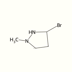 CN1[CH]CC(Br)N1